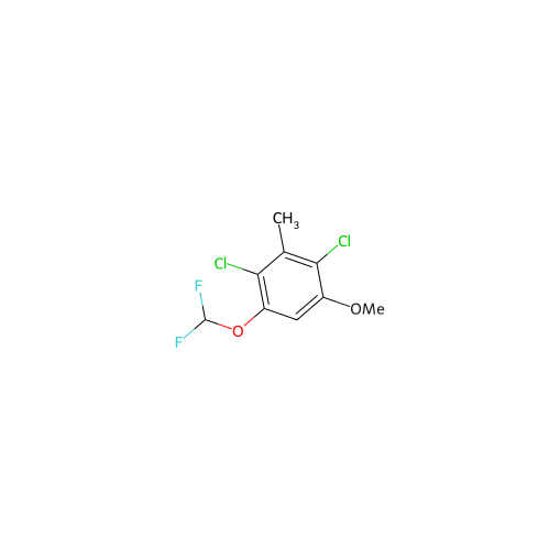 COc1cc(OC(F)F)c(Cl)c(C)c1Cl